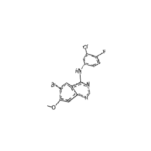 COc1cc2ncnc(Nc3ccc(F)c(Cl)c3)c2cc1Br